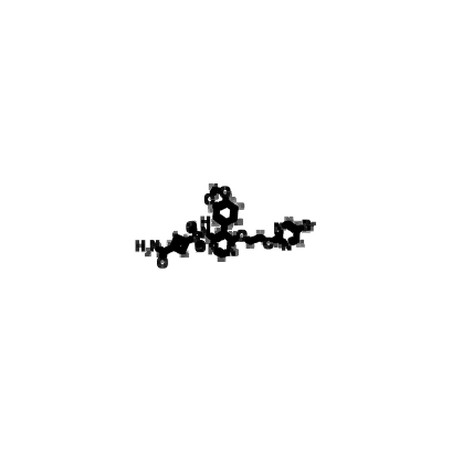 NC(=O)C12CC(S(=O)(=O)Nc3ncnc(OCCOc4ncc(Br)cn4)c3-c3ccc4c(c3)OCO4)(C1)C2